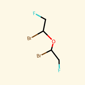 FCC(Br)OC(Br)CF